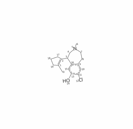 CC1=C(C2CN(C)CCc3cc(Cl)c(O)cc32)CCC1